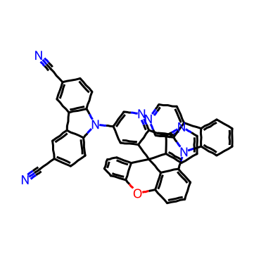 N#Cc1ccc2c(c1)c1cc(C#N)ccc1n2-c1cnc2c(c1)C1(c3ccccc3Oc3cccc(-n4c5ccccc5c5ccncc54)c31)c1cccnc1-2